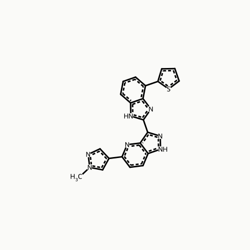 Cn1cc(-c2ccc3[nH]nc(-c4nc5c(-c6cccs6)cccc5[nH]4)c3n2)cn1